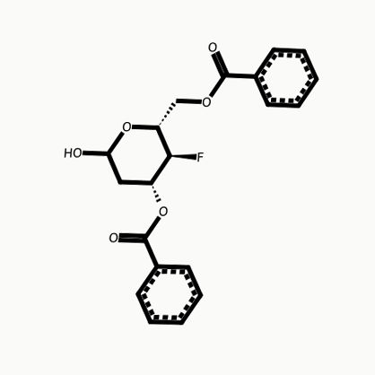 O=C(OC[C@H]1OC(O)C[C@@H](OC(=O)c2ccccc2)[C@@H]1F)c1ccccc1